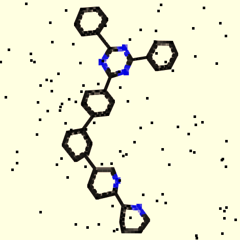 c1ccc(-c2nc(-c3ccccc3)nc(-c3ccc(-c4cccc(-c5ccc(-c6ccccn6)nc5)c4)cc3)n2)cc1